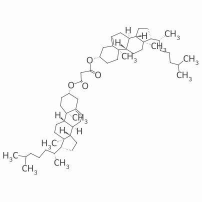 CC(C)CCC[C@@H](C)[C@H]1CC[C@H]2[C@@H]3CC=C4C[C@@H](OC(=O)CC(=O)O[C@H]5CC[C@@]6(C)C(=CC[C@H]7[C@@H]8CC[C@H]([C@H](C)CCCC(C)C)[C@@]8(C)CC[C@@H]76)C5)CC[C@]4(C)[C@H]3CC[C@]12C